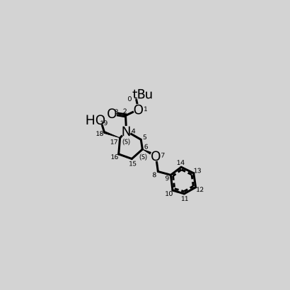 CC(C)(C)OC(=O)N1C[C@@H](OCc2ccccc2)CC[C@H]1CO